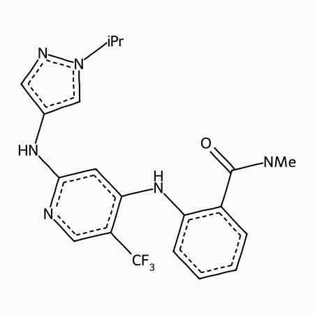 CNC(=O)c1ccccc1Nc1cc(Nc2cnn(C(C)C)c2)ncc1C(F)(F)F